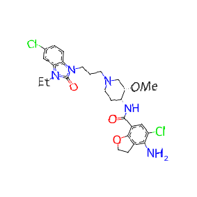 CCn1c(=O)n(CCCN2CC[C@@H](NC(=O)c3cc(Cl)c(N)c4c3OCC4)[C@@H](OC)C2)c2ccc(Cl)cc21